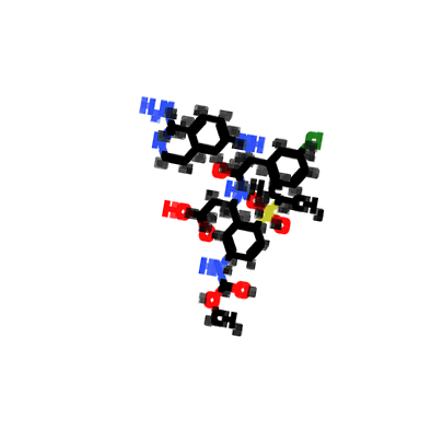 COC(=O)Nc1ccc(S(=O)(=O)C(C)C)c([C@@H](CC(=O)O)NC(=O)[C@H](Nc2ccc3c(N)nccc3c2)c2cccc(Cl)c2)c1